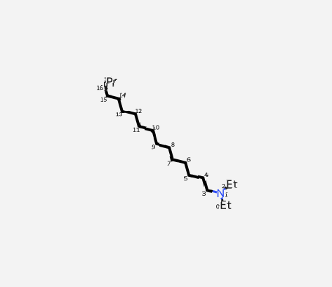 CCN(CC)CCCCCCCCCCCCCC(C)C